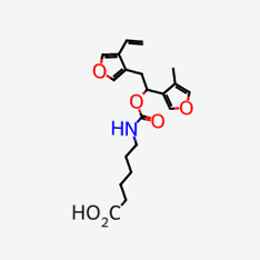 C=Cc1cocc1CC(OC(=O)NCCCCCC(=O)O)c1cocc1C